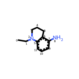 CCN1CCCc2c(N)cccc21